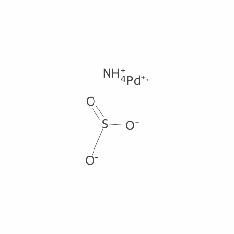 O=S([O-])[O-].[NH4+].[Pd+]